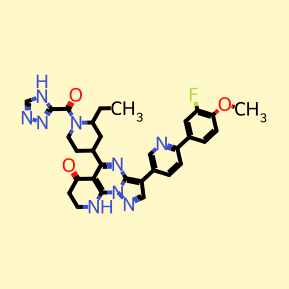 CCC1CC(c2nc3c(-c4ccc(-c5ccc(OC)c(F)c5)nc4)cnn3c3c2C(=O)CCN3)CCN1C(=O)c1nnc[nH]1